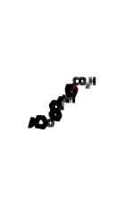 O=C(O)C12CCC(NCc3ccc4cc(OC5CCC6(CC5)CC6)ccc4n3)(CC1)CC2